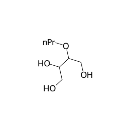 CCCOC(CO)C(O)CO